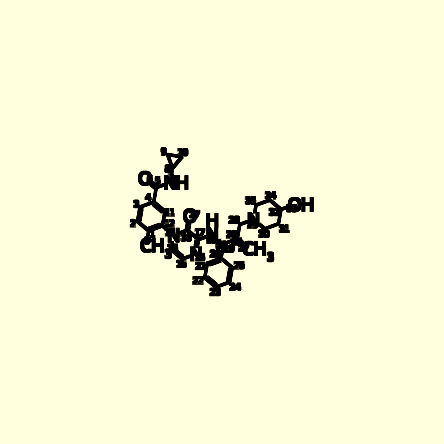 Cc1ccc(C(=O)NC2CC2)cc1-n1ccnc(N[C@@H](c2ccccc2)[C@H](C)CN2CCC(O)CC2)c1=O